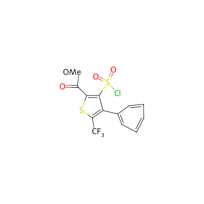 COC(=O)c1sc(C(F)(F)F)c(-c2ccccc2)c1S(=O)(=O)Cl